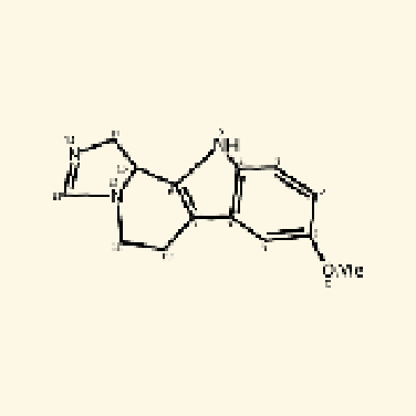 COc1ccc2[nH]c3c(c2c1)CCN1C=NCC31